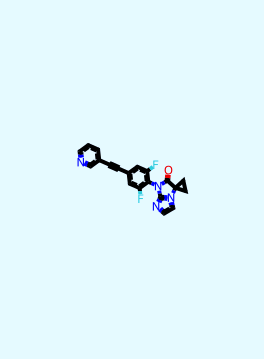 O=C1N(c2c(F)cc(C#Cc3cccnc3)cc2F)c2nccn2C12CC2